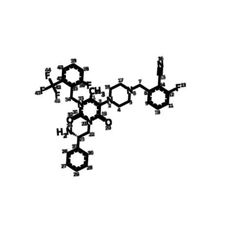 Cc1c(N2CCN(Cc3cccc(F)c3C#N)CC2)c(=O)n(C[C@@H](N)c2ccccc2)c(=O)n1Cc1c(F)cccc1C(F)(F)F